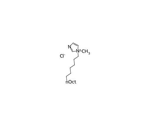 CCCCCCCCCCCCCC[N+]1(C)C=CN=C1.[Cl-]